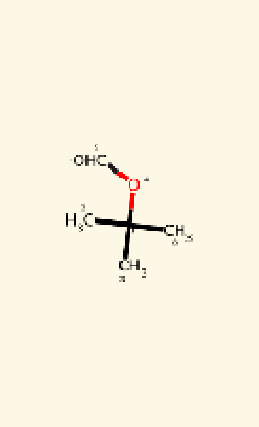 CC(C)(C)O[C]=O